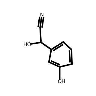 N#CC(O)c1cccc(O)c1